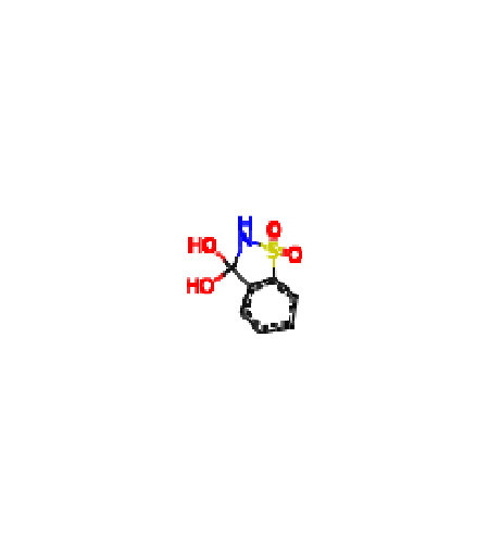 O=S1(=O)NC(O)(O)c2ccccc21